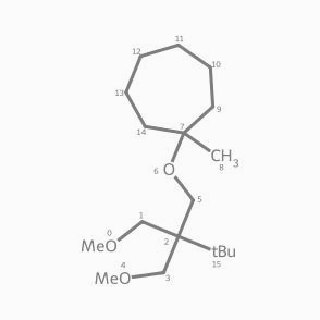 COCC(COC)(COC1(C)CCCCCC1)C(C)(C)C